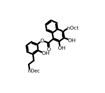 CCCCCCCCCCCCc1cccc(OC(=O)c2c(O)c(O)c(CCCCCCCC)c3ccccc23)c1O